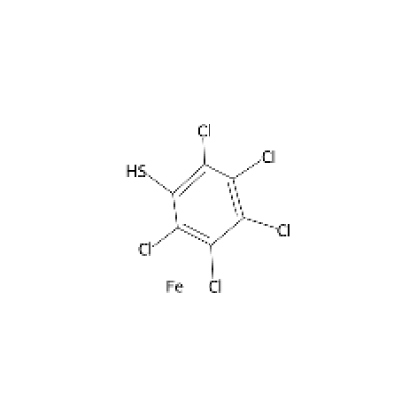 Sc1c(Cl)c(Cl)c(Cl)c(Cl)c1Cl.[Fe]